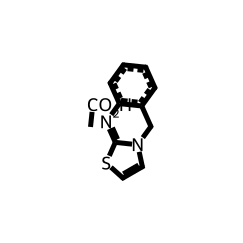 C1=CN2Cc3ccccc3N=C2S1.CC(=O)O